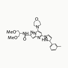 COCC(COC)NC(=O)c1cc2nc(N3C=CC(c4cccc(C)c4)N3)cc(N3CCOCC3)n2n1